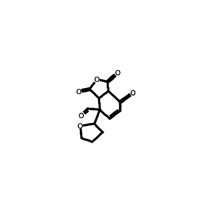 O=CC1(C2CCCO2)C=CC(=O)C2C(=O)OC(=O)C21